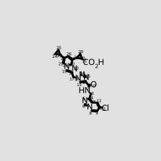 O=C(NCc1ncn2ccc(Cl)cc12)c1cn(Cc2cn3cc(C4CC4)cc(C4CC4C(=O)O)c3n2)nn1